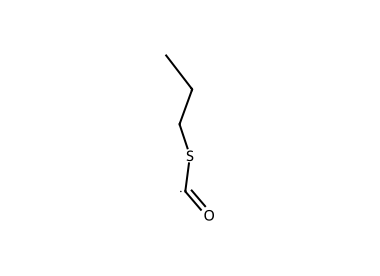 CCCS[C]=O